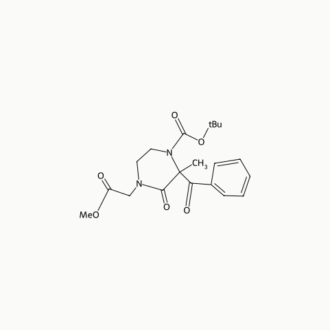 COC(=O)CN1CCN(C(=O)OC(C)(C)C)C(C)(C(=O)c2ccccc2)C1=O